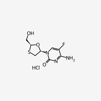 Cl.Nc1nc(=O)n([C@H]2CS[C@@H](CO)O2)cc1F